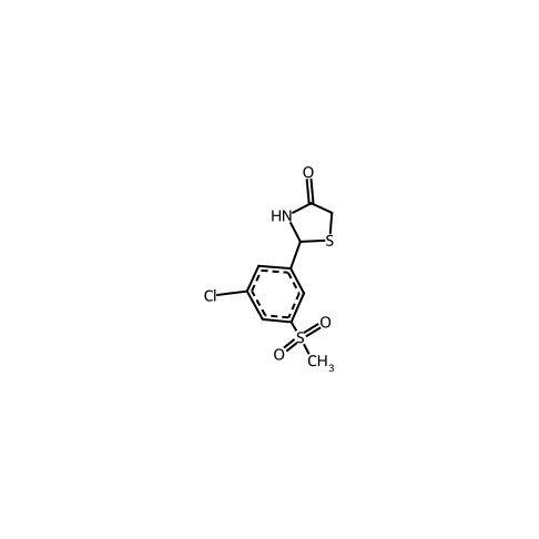 CS(=O)(=O)c1cc(Cl)cc(C2NC(=O)CS2)c1